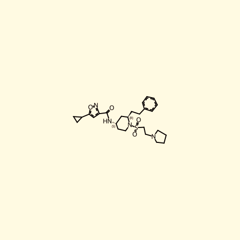 O=C(N[C@H]1CCN(S(=O)(=O)CCN2CCCC2)[C@H](CCc2ccccc2)C1)c1cc(C2CC2)on1